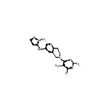 Cc1nc(Cl)c(C)c(N2CCc3ncc(Nc4ccnn4C)cc3C2)n1